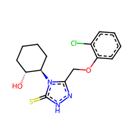 O[C@@H]1CCCC[C@H]1n1c(COc2ccccc2Cl)n[nH]c1=S